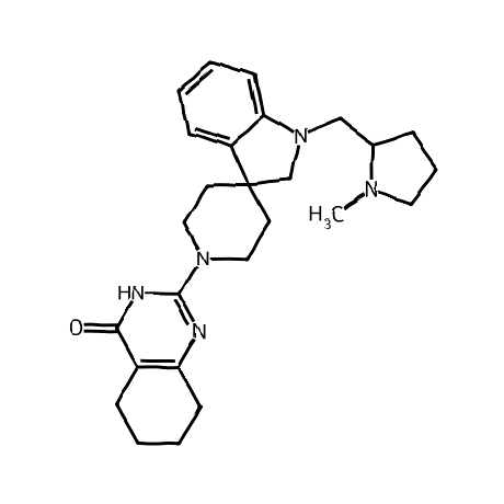 CN1CCCC1CN1CC2(CCN(c3nc4c(c(=O)[nH]3)CCCC4)CC2)c2ccccc21